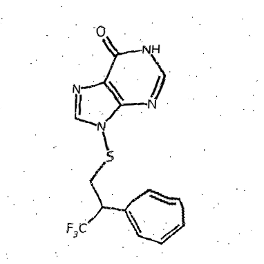 O=c1[nH]cnc2c1ncn2SCC(c1ccccc1)C(F)(F)F